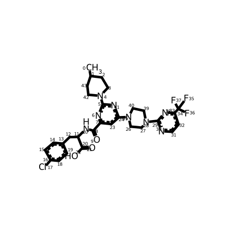 CC1CCN(c2nc(C(=O)NC(Cc3ccc(Cl)cc3)C(=O)O)cc(N3CCN(c4nccc(C(F)(F)F)n4)CC3)n2)CC1